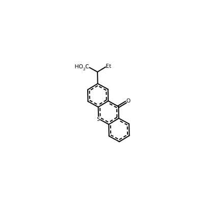 CCC(C(=O)O)c1ccc2sc3ccccc3c(=O)c2c1